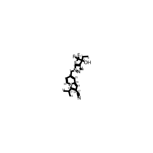 CCC(O)(c1cn(Cc2ccn3c(C(C)C)c(C#N)cc3c2)nn1)C(F)(F)F